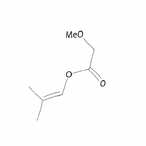 COCC(=O)OC=C(C)C